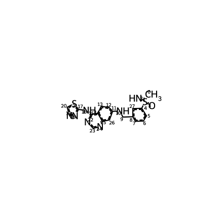 CS(=N)(=O)c1cccc(CNc2ccc3c(Nc4nncs4)ncnc3c2)c1